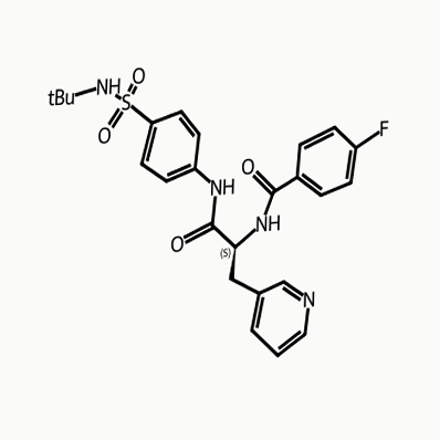 CC(C)(C)NS(=O)(=O)c1ccc(NC(=O)[C@H](Cc2cccnc2)NC(=O)c2ccc(F)cc2)cc1